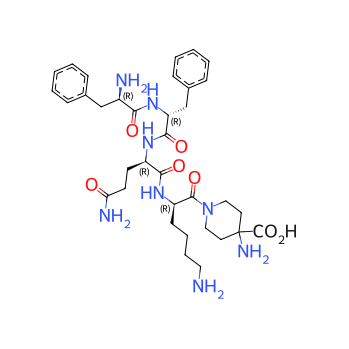 NCCCC[C@@H](NC(=O)[C@@H](CCC(N)=O)NC(=O)[C@@H](Cc1ccccc1)NC(=O)[C@H](N)Cc1ccccc1)C(=O)N1CCC(N)(C(=O)O)CC1